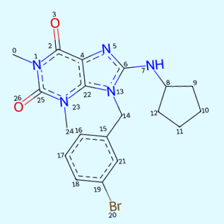 Cn1c(=O)c2nc(NC3CCCC3)n(Cc3cccc(Br)c3)c2n(C)c1=O